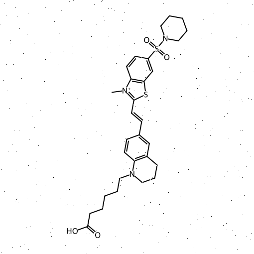 C[n+]1c(/C=C/c2ccc3c(c2)CCCN3CCCCCC(=O)O)sc2cc(S(=O)(=O)N3CCCCC3)ccc21